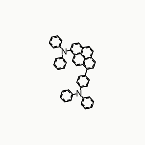 c1ccc(N(c2ccccc2)c2ccc(-c3ccc4ccc5ccc(N(c6ccccc6)c6ccccc6)c6ccc3c4c56)cc2)cc1